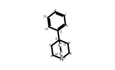 c1ccc(C23CCN(CC2)CC3)cc1